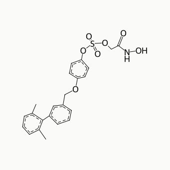 Cc1cccc(C)c1-c1cccc(COc2ccc(OS(=O)(=O)OCC(=O)NO)cc2)c1